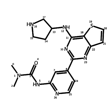 CN(C)C(=O)Nc1cc(-c2nc(NC3CCNC3)c3sccc3n2)ccn1